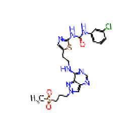 CS(=O)(=O)CCCn1cc2ncnc(NCCc3cnc(NC(=O)Nc4cccc(Cl)c4)s3)c2n1